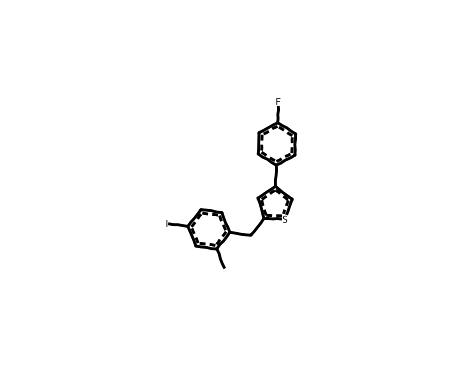 Cc1cc(I)ccc1Cc1cc(-c2ccc(F)cc2)cs1